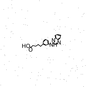 O=C(O)CCCCc1cccc(Nc2cnc3ccccc3n2)c1